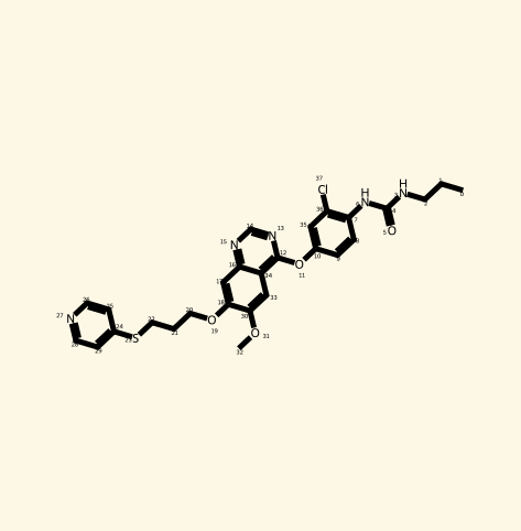 CCCNC(=O)Nc1ccc(Oc2ncnc3cc(OCCCSc4ccncc4)c(OC)cc23)cc1Cl